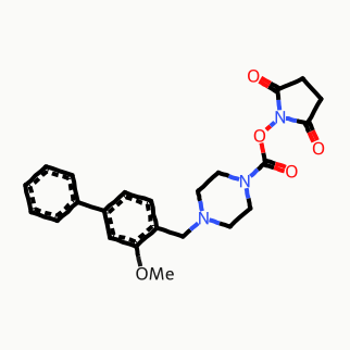 COc1cc(-c2ccccc2)ccc1CN1CCN(C(=O)ON2C(=O)CCC2=O)CC1